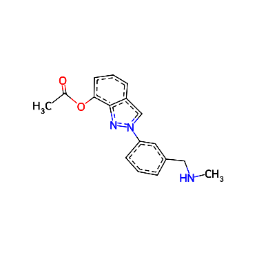 CNCc1cccc(-n2cc3cccc(OC(C)=O)c3n2)c1